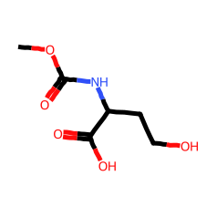 COC(=O)NC(CCO)C(=O)O